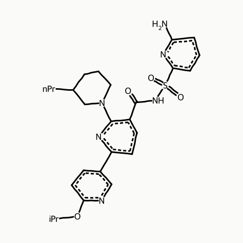 CCCC1CCCN(c2nc(-c3ccc(OC(C)C)nc3)ccc2C(=O)NS(=O)(=O)c2cccc(N)n2)C1